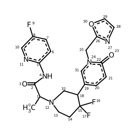 CC(C(=O)Nc1ccc(F)cn1)N1CCC(F)(F)C(c2ccc(=O)n(Cc3ncco3)c2)C1